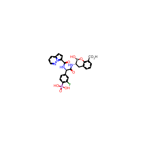 O=C(O)c1cccc2c1OB(O)[C@@H](NC(=O)[C@H](NC(=O)c1ccc3cccnn13)c1ccc(P(=O)(O)O)c(F)c1)C2